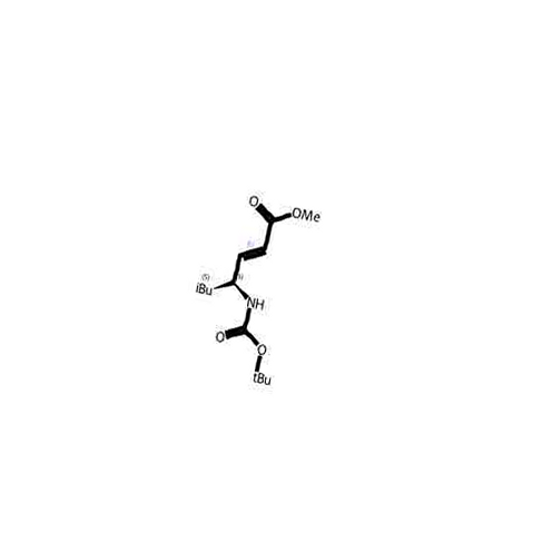 CC[C@H](C)[C@@H](/C=C/C(=O)OC)NC(=O)OC(C)(C)C